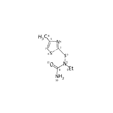 CCN(Sc1nc(C)cs1)C(N)=O